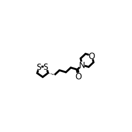 O=C(CCCC[C@@H]1CCSS1)N1CCOCC1